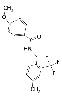 COc1ccc(C(=O)NCc2ccc(C)cc2C(F)(F)F)cc1